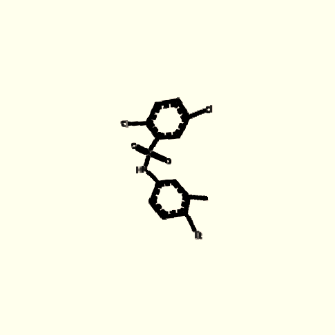 CCc1ccc(NS(=O)(=O)c2cc(Cl)ccc2Cl)cc1C